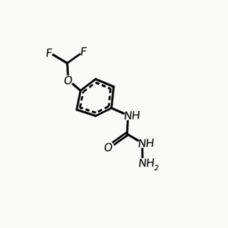 NNC(=O)Nc1ccc(OC(F)F)cc1